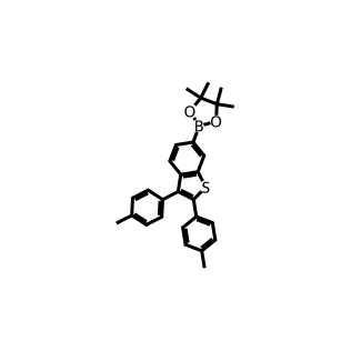 Cc1ccc(-c2sc3cc(B4OC(C)(C)C(C)(C)O4)ccc3c2-c2ccc(C)cc2)cc1